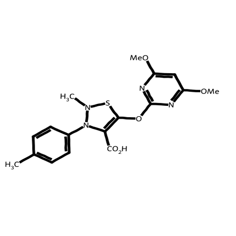 COc1cc(OC)nc(OC2=C(C(=O)O)N(c3ccc(C)cc3)N(C)S2)n1